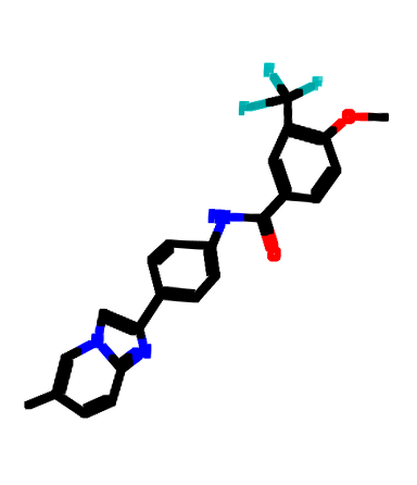 COc1ccc(C(=O)Nc2ccc(-c3cn4cc(C)ccc4n3)cc2)cc1C(F)(F)F